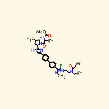 C=N/C(=C(/F)NCCN(CC(C)C)C(=O)CC(C)C)c1ccc(-c2ccc(-c3c[nH]c(C4CC(C)CN4C(=O)C(NC(=O)OC)C(C)C)n3)cc2)cc1